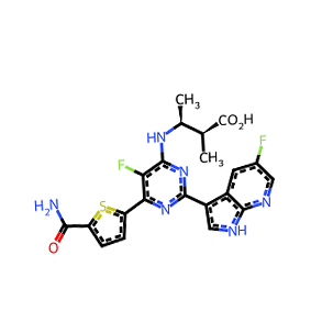 C[C@H](Nc1nc(-c2c[nH]c3ncc(F)cc23)nc(-c2ccc(C(N)=O)s2)c1F)[C@H](C)C(=O)O